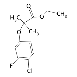 CCOC(=O)C(C)(C)Oc1ccc(Cl)c(F)c1